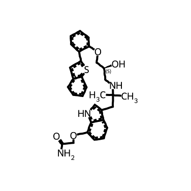 CC(C)(Cc1c[nH]c2c(OCC(N)=O)cccc12)NC[C@H](O)COc1ccccc1-c1cc2ccccc2s1